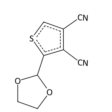 N#Cc1csc(C2OCCO2)c1C#N